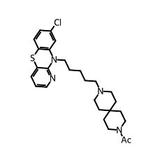 CC(=O)N1CCC2(CCN(CCCCCN3c4cc(Cl)ccc4Sc4cccnc43)CC2)CC1